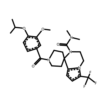 COc1cc(C(=O)N2CCC3(CC2)c2ccc(C(F)(F)F)n2CCN3C(=O)N(C)C)ccc1OC(C)C